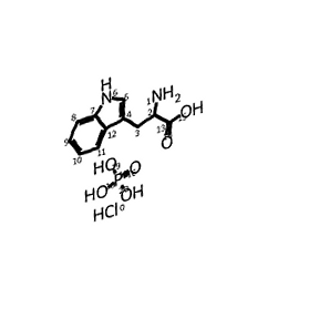 Cl.NC(Cc1c[nH]c2ccccc12)C(=O)O.O=P(O)(O)O